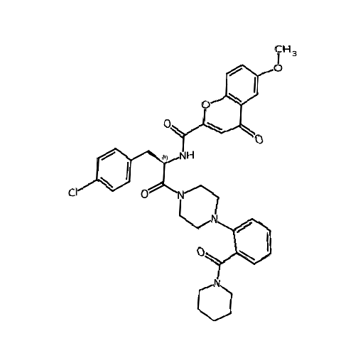 COc1ccc2oc(C(=O)N[C@H](Cc3ccc(Cl)cc3)C(=O)N3CCN(c4ccccc4C(=O)N4CCCCC4)CC3)cc(=O)c2c1